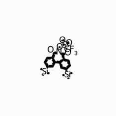 C[Si](C)(C)c1ccc2c(=O)n(OS(=O)(=O)C(F)(F)F)c(=O)c3ccc([Si](C)(C)C)cc3c2c1